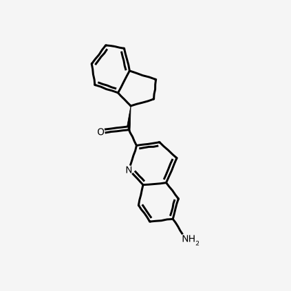 Nc1ccc2nc(C(=O)[C@@H]3CCc4ccccc43)ccc2c1